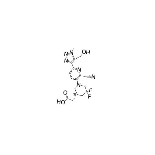 Cn1nnc(-c2ccc(N3C[C@@H](CC(=O)O)CC(F)(F)C3)c(C#N)n2)c1CO